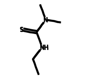 CCNC(=S)N(C)C